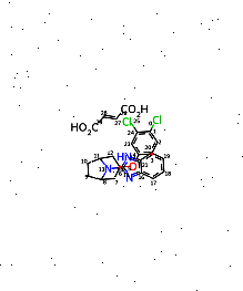 Clc1ccc(OC2CC3CCC(C2)N3c2nc3ccccc3[nH]2)cc1Cl.O=C(O)C=CC(=O)O